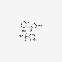 CCNC1C[C@@H](Cc2cccc(O)c2)S(=O)(=O)C1.NS(=O)(=O)C1=CC=CNS1